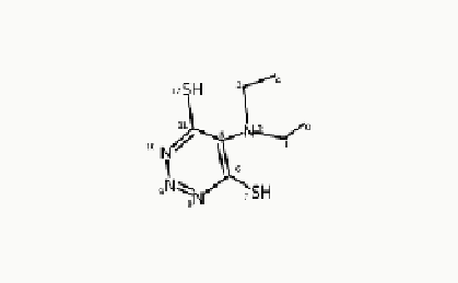 CCN(CC)c1c(S)nnnc1S